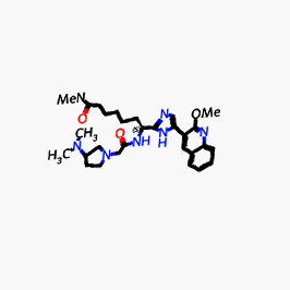 CNC(=O)CCCCC[C@H](NC(=O)CN1CCC(N(C)C)C1)c1ncc(-c2cc3ccccc3nc2OC)[nH]1